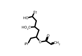 C=CC(=O)OC(CC(C)C)CC(CC(O)CC)C(=O)O